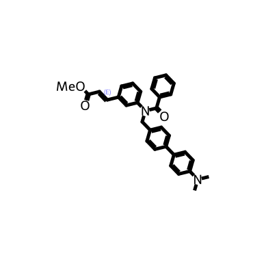 COC(=O)/C=C/c1cccc(N(Cc2ccc(-c3ccc(N(C)C)cc3)cc2)C(=O)c2ccccc2)c1